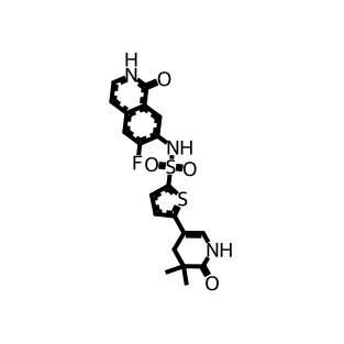 CC1(C)CC(c2ccc(S(=O)(=O)Nc3cc4c(=O)[nH]ccc4cc3F)s2)=CNC1=O